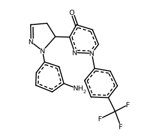 Nc1cccc(N2N=CCC2c2nn(-c3ccc(C(F)(F)F)cc3)ccc2=O)c1